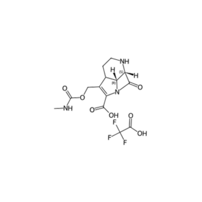 CNC(=O)OCC1=C(C(=O)O)N2C(=O)[C@H]3NCCC1[C@H]32.O=C(O)C(F)(F)F